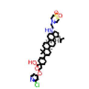 C=C(C)[C@@H]1CC[C@]2(NCCN3CCS(=O)(=O)CC3)CC[C@]3(C)[C@H](CCC4[C@@]5(C)CC=C(C6=CCC(CCOc7ccnc(Cl)c7)(C(=O)O)CC6)C(C)(C)C5CC[C@]43C)C12